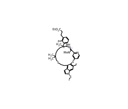 CCOC(=O)CCc1cccc([C@@]2(C)CCCC(C)(C)CSCCc3c(c(F)cc4c3ccn4SI)Sc3ccnc(c3)/C(NC)=N/C2=N)c1F